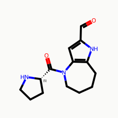 O=Cc1cc2c([nH]1)CCCCN2C(=O)[C@@H]1CCCN1